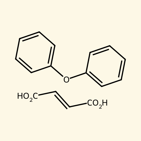 O=C(O)C=CC(=O)O.c1ccc(Oc2ccccc2)cc1